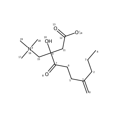 C=C(CCC)CCC(=O)C(O)(CC(=O)[O-])C[N+](C)(C)C